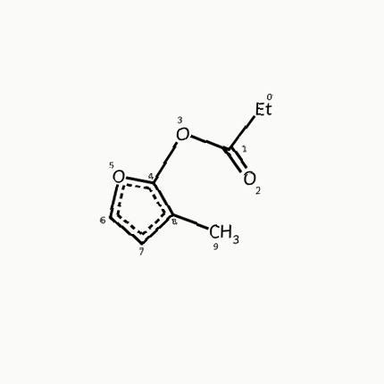 CCC(=O)Oc1occc1C